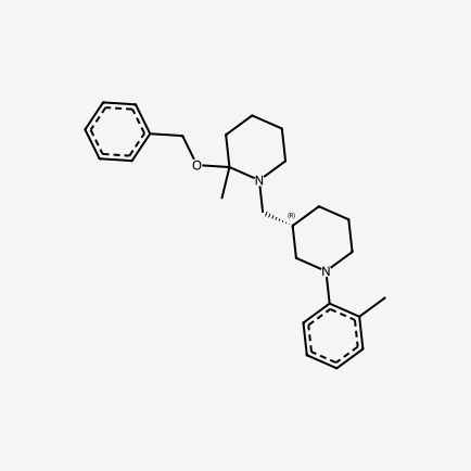 Cc1ccccc1N1CCC[C@@H](CN2CCCCC2(C)OCc2ccccc2)C1